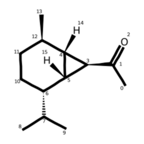 CC(=O)[C@@H]1[C@@H]2[C@H]1[C@H](C(C)C)CC[C@H]2C